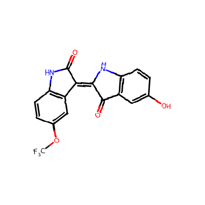 O=C1Nc2ccc(OC(F)(F)F)cc2/C1=C1/Nc2ccc(O)cc2C1=O